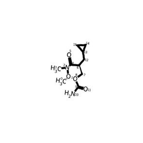 CON(C)C(=O)[C@H](COC(N)=O)CC1CC1